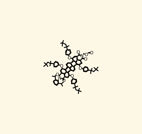 CC(C)c1cccc(C(C)C)c1N1C(=O)c2cc(Oc3ccc(C(C)(C)CC(C)(C)C)cc3)c3c4ccc5c6c(Oc7ccc(C(C)(C)CC(C)(C)C)cc7)cc7c8c(cc(Oc9ccc(C(C)(C)CC(C)(C)C)cc9)c(c9ccc(c%10c(Oc%11ccc(C(C)(C)CC(C)(C)C)cc%11)cc(c2c3%10)C1=O)c4c59)c86)C(=O)N(COC=O)C7=O